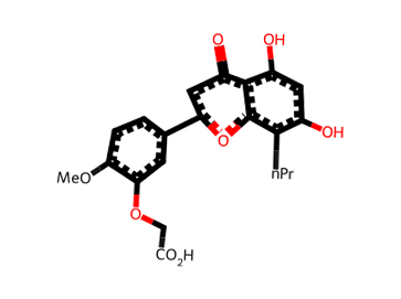 CCCc1c(O)cc(O)c2c(=O)cc(-c3ccc(OC)c(OCC(=O)O)c3)oc12